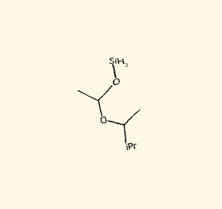 CC(O[SiH3])OC(C)C(C)C